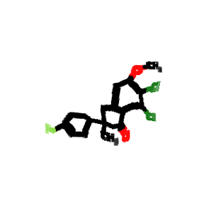 COc1cc2c(c(Cl)c1Cl)C(=O)C(C)(c1ccc(F)cc1)C2